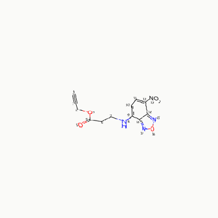 C#CCOC(=O)CCNc1ccc([N+](=O)[O-])c2nonc12